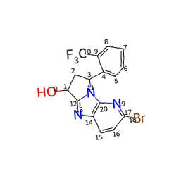 OC1CC(c2ccccc2C(F)(F)F)n2c1nc1ccc(Br)nc12